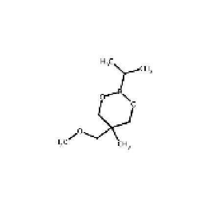 COCC1(C)COB(C(C)C)OC1